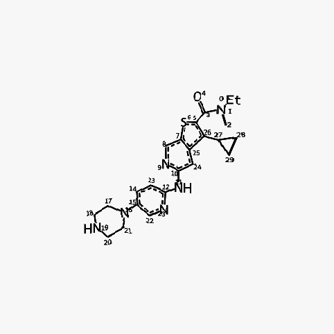 CCN(C)C(=O)c1sc2cnc(Nc3ccc(N4CCNCC4)cn3)cc2c1C1CC1